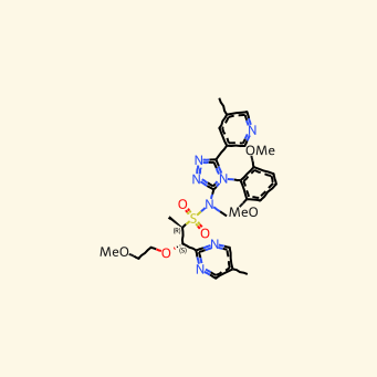 COCCO[C@@H](c1ncc(C)cn1)[C@@H](C)S(=O)(=O)N(C)c1nnc(-c2cncc(C)c2)n1-c1c(OC)cccc1OC